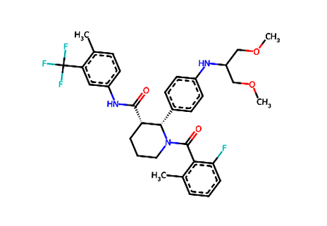 COCC(COC)Nc1ccc([C@H]2[C@@H](C(=O)Nc3ccc(C)c(C(F)(F)F)c3)CCCN2C(=O)c2c(C)cccc2F)cc1